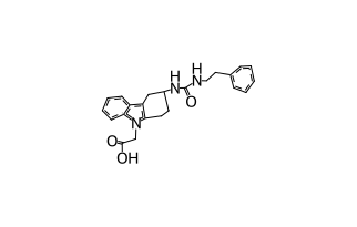 O=C(O)Cn1c2c(c3ccccc31)CC(NC(=O)NCCc1ccccc1)CC2